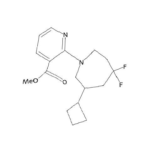 COC(=O)c1cccnc1N1CCC(F)(F)CC(C2CCC2)C1